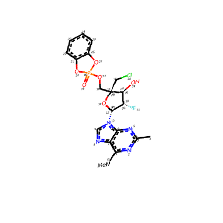 CNc1nc(C)nc2c1ncn2[C@@H]1O[C@](CCl)(COP2(=O)Oc3ccccc3O2)[C@@H](O)[C@@H]1F